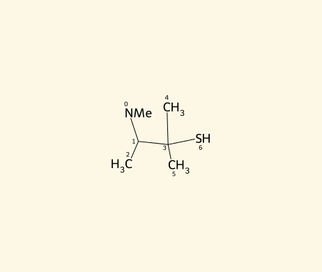 CNC(C)C(C)(C)S